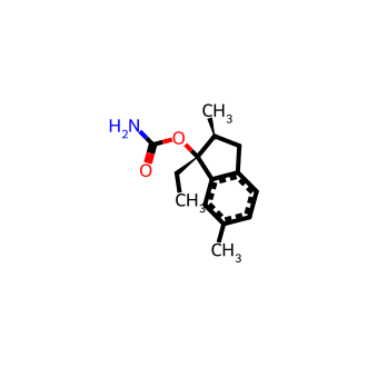 CC[C@]1(OC(N)=O)c2cc(C)ccc2C[C@@H]1C